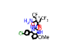 COc1cccc2c1NC(=O)[C@@H](NC(=O)[C@H](CCC(F)(F)F)[C@H](CCC(F)(F)F)C(N)=O)N=C2c1ccc(Cl)cc1